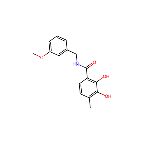 COc1cccc(CNC(=O)c2ccc(C)c(O)c2O)c1